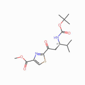 COC(=O)c1csc(C(=O)C[C@@H](NC(=O)OC(C)(C)C)C(C)C)n1